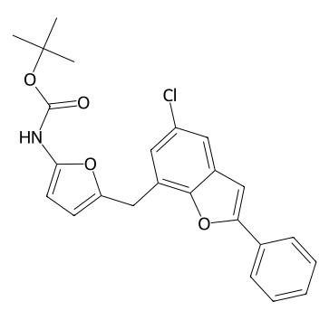 CC(C)(C)OC(=O)Nc1ccc(Cc2cc(Cl)cc3cc(-c4ccccc4)oc23)o1